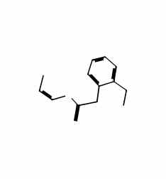 C=C(Cc1ccccc1CC)S/C=C\C